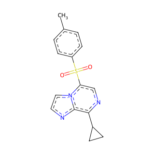 Cc1ccc(S(=O)(=O)c2cnc(C3CC3)c3nccn23)cc1